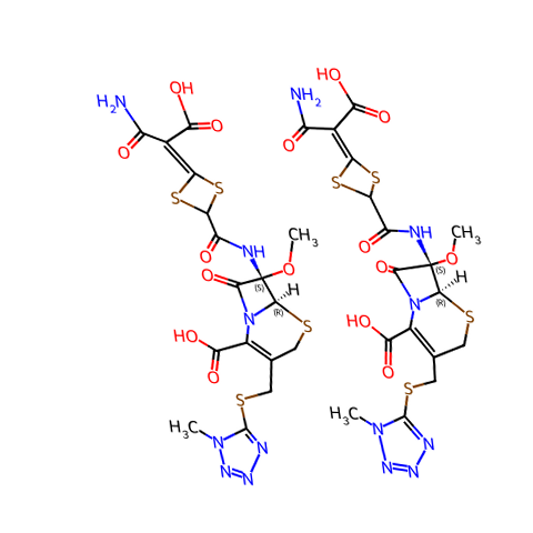 CO[C@@]1(NC(=O)C2SC(=C(C(N)=O)C(=O)O)S2)C(=O)N2C(C(=O)O)=C(CSc3nnnn3C)CS[C@@H]21.CO[C@@]1(NC(=O)C2SC(=C(C(N)=O)C(=O)O)S2)C(=O)N2C(C(=O)O)=C(CSc3nnnn3C)CS[C@@H]21